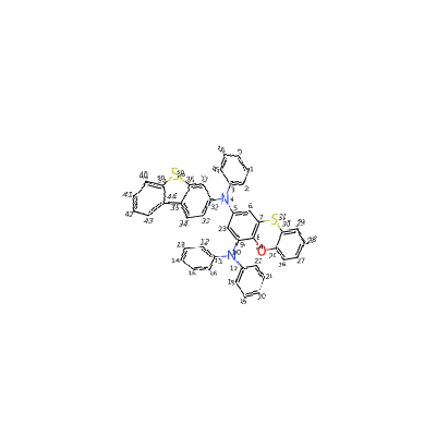 c1ccc(N(c2cc3c(c(N(c4ccccc4)c4ccccc4)c2)Oc2ccccc2S3)c2ccc3c(c2)sc2ccccc23)cc1